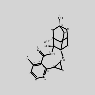 O=C(N[C@@H]1[C@@H]2CC3C[C@H]1C[C@](O)(C3)C2)c1c(Cl)ccnc1C1CC1